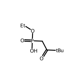 CCOP(=O)(O)CC(=O)C(C)(C)C